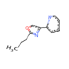 CCCc1nc(-c2ccccn2)co1